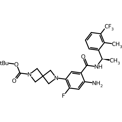 Cc1c([C@@H](C)NC(=O)c2cc(N3CC4(CN(C(=O)OC(C)(C)C)C4)C3)c(F)cc2N)cccc1C(F)(F)F